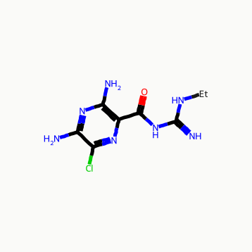 CCNC(=N)NC(=O)c1nc(Cl)c(N)nc1N